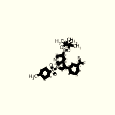 Cc1ccc(S(=O)(=O)n2cc(-c3cccc(C(F)F)c3)c3cc(B4OC(C)(C)C(C)(C)O4)cnc32)cc1